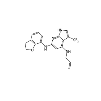 C=CCNc1cc(Nc2cc[c]c3c2OCC3)nc2[nH]cc(C(F)(F)F)c12